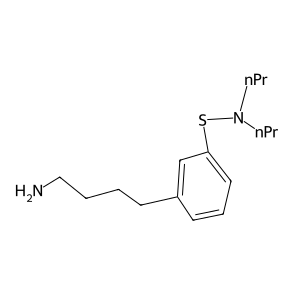 CCCN(CCC)Sc1cccc(CCCCN)c1